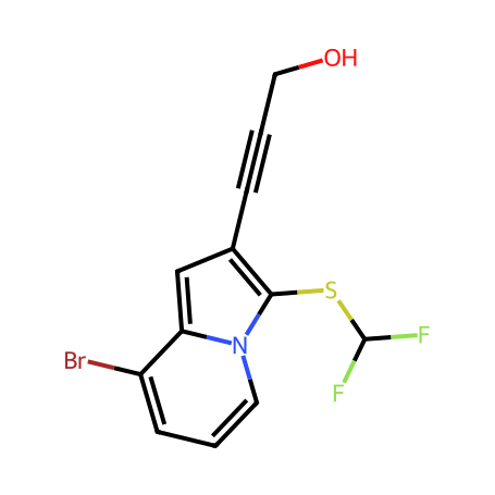 OCC#Cc1cc2c(Br)cccn2c1SC(F)F